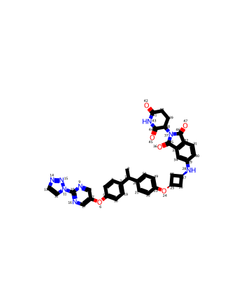 CC(c1ccc(Oc2cnc(-n3ccnn3)nc2)cc1)c1ccc(O[C@H]2C[C@H](Nc3ccc4c(c3)C(=O)N(C3CCC(=O)NC3=O)C4=O)C2)cc1